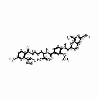 COc1cc(C(=O)NC(CCCNC(=O)c2ccc(N)cc2-c2nnn[nH]2)C(=O)O)ccc1NCc1cnc2nc(N)nc(N)c2n1